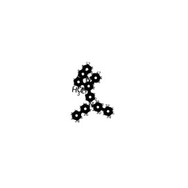 Cc1ccccc1-c1c(C)c(-c2ccc(N(c3ccc(-c4ccccc4)cc3)c3ccc(-c4ccccc4)cc3)cc2)cc2c3ccccc3n(-c3cccc4ccccc34)c12